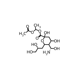 CC(=O)OC(C)OC(=O)C1(O)CC(O)C([C@@H](N)O)C(C[C@H](O)CO)O1